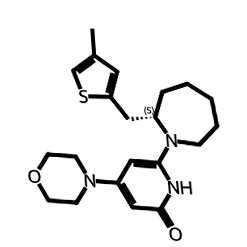 Cc1csc(C[C@@H]2CCCCCN2c2cc(N3CCOCC3)cc(=O)[nH]2)c1